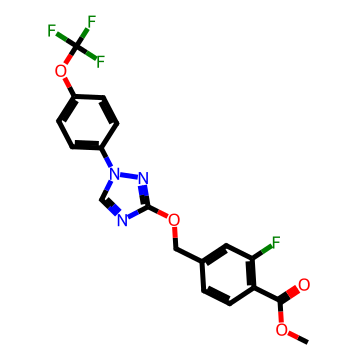 COC(=O)c1ccc(COc2ncn(-c3ccc(OC(F)(F)F)cc3)n2)cc1F